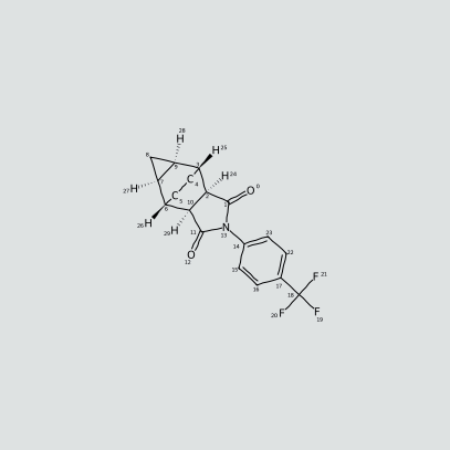 O=C1[C@@H]2[C@@H]3CC[C@@H]([C@H]4C[C@H]43)[C@@H]2C(=O)N1c1ccc(C(F)(F)F)cc1